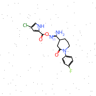 N/C(=N\OC(=O)c1cc(Cl)c[nH]1)C1CCCN(c2ccc(F)cc2)C(=O)C1